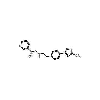 O[C@@H](CNCCc1ccc(-c2csc(C(F)(F)F)n2)cc1)c1cccnc1